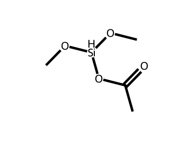 CO[SiH](OC)OC(C)=O